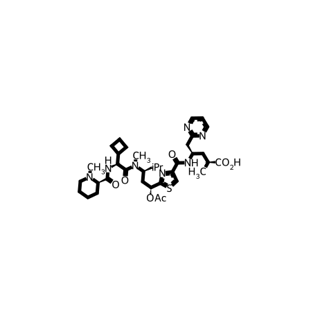 CC(=O)O[C@H](C[C@H](C(C)C)N(C)C(=O)[C@@H](NC(=O)[C@H]1CCCCN1C)C1CCC1)c1nc(C(=O)N[C@@H](Cc2ncccn2)C[C@H](C)C(=O)O)cs1